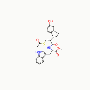 COC(=O)C(Cc1c[nH]c2ccccc12)NC(=O)C(CSC(C)=O)C1CCc2cc(O)ccc21